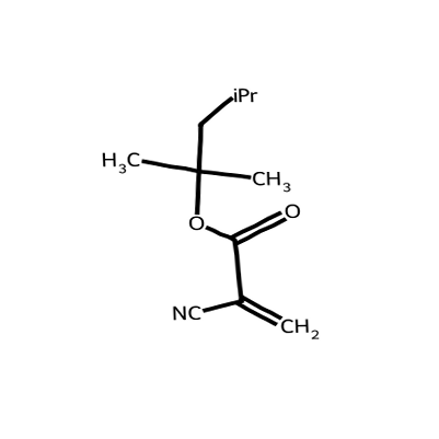 C=C(C#N)C(=O)OC(C)(C)CC(C)C